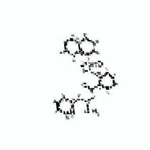 CC(CC(=O)c1ccccc1NS(=O)(=O)c1cccc2cccnc12)Cc1ccccn1